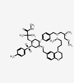 CNC(=O)C(C)(C)C[C@H]1C[C@H](c2ccc(COC[C@@H](C)COC)cc2)[C@@H](OCc2ccc3c(c2)N(CCCOC)CCO3)CN1S(=O)(=O)c1ccc(C)cc1